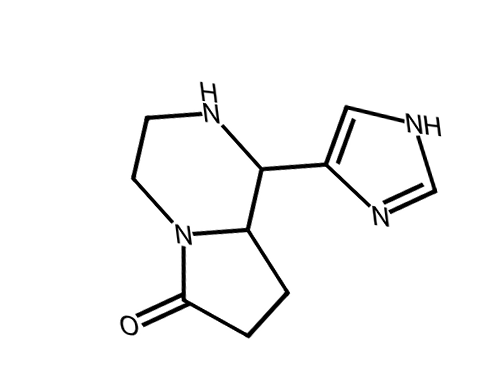 O=C1CCC2C(c3c[nH]cn3)NCCN12